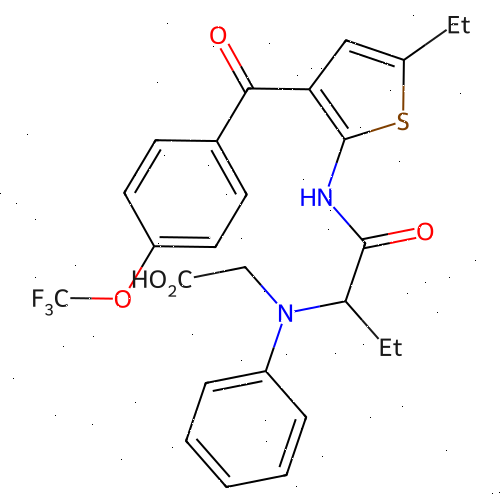 CCc1cc(C(=O)c2ccc(OC(F)(F)F)cc2)c(NC(=O)C(CC)N(CC(=O)O)c2ccccc2)s1